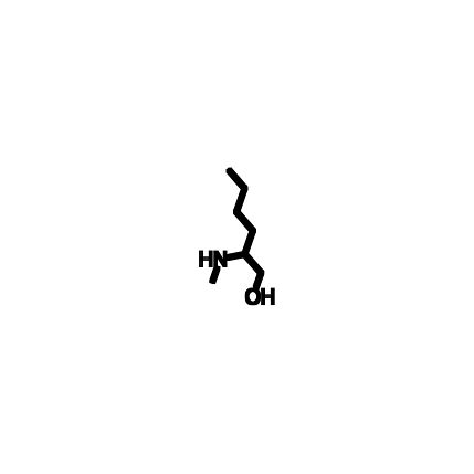 CCCCC(CO)NC